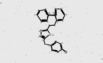 Brc1ccc(Cc2nnc(CCc3ccccc3-c3ccccc3)o2)cc1